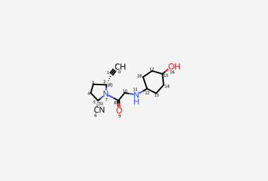 C#C[C@H]1CC[C@@H](C#N)N1C(=O)CNC1CCC(O)CC1